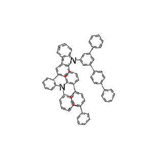 c1ccc(-c2ccc(-c3cc(-c4ccccc4)cc(-n4c5ccccc5c5cc(-c6ccccc6N(c6ccccc6)c6ccccc6-c6ccc(-c7ccccc7)cc6)ccc54)c3)cc2)cc1